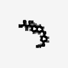 CCCOc1ccc(Oc2ccc3cc(C(C)NC(=O)CC)ccc3c2)cc1